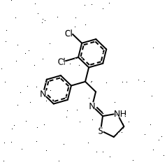 Clc1cccc(C(CN=C2NCCS2)c2ccncc2)c1Cl